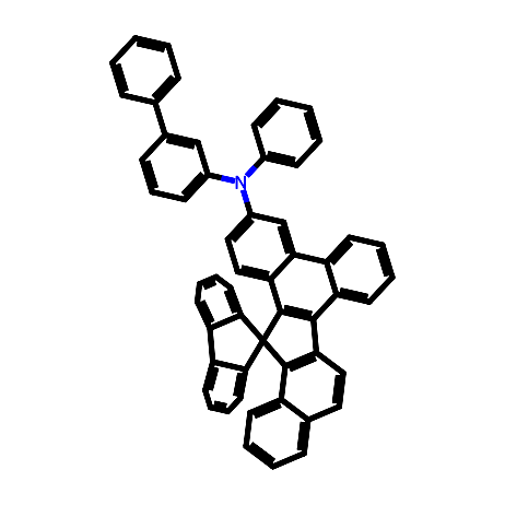 c1ccc(-c2cccc(N(c3ccccc3)c3ccc4c5c(c6ccccc6c4c3)-c3ccc4ccccc4c3C53c4ccccc4-c4ccccc43)c2)cc1